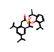 CC(C)c1cc(C(C)C)c(CC(=O)S(=O)(=O)Oc2c(C(C)C)cccc2C(C)C)c(C(C)C)c1